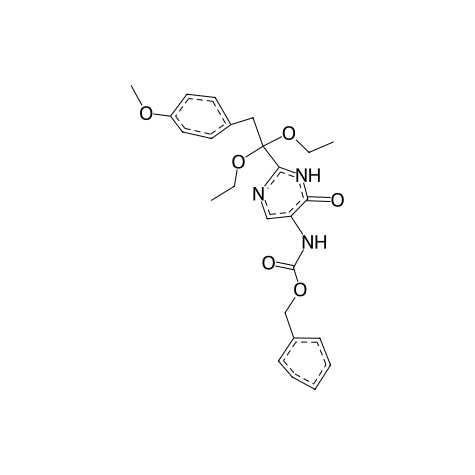 CCOC(Cc1ccc(OC)cc1)(OCC)c1ncc(NC(=O)OCc2ccccc2)c(=O)[nH]1